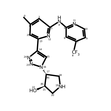 Cc1cc(Nc2cc(C(F)(F)F)ccn2)nc(-c2cn([C@@H]3CNC[C@H]3O)nn2)c1